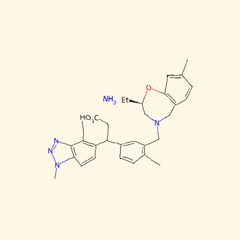 CC[C@@H]1CN(Cc2cc(C(CC(=O)O)c3ccc4c(nnn4C)c3C)ccc2C)Cc2ccc(C)cc2O1.N